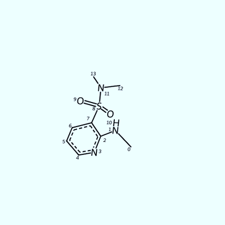 CNc1ncccc1S(=O)(=O)N(C)C